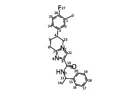 Cc1cc(C2CCc3nc(C(=O)NC(C)c4ccccc4)cn3C2)ccc1F